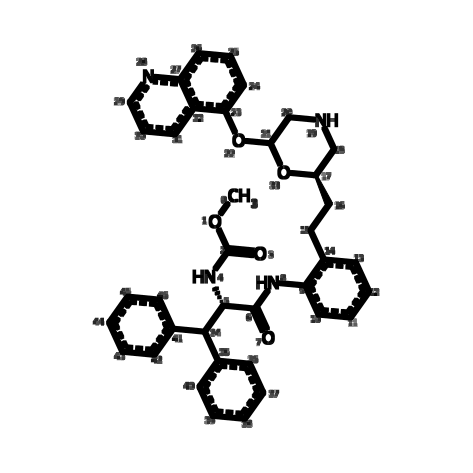 COC(=O)N[C@H](C(=O)Nc1ccccc1CC[C@@H]1CNCC(Oc2cccc3ncccc23)O1)C(c1ccccc1)c1ccccc1